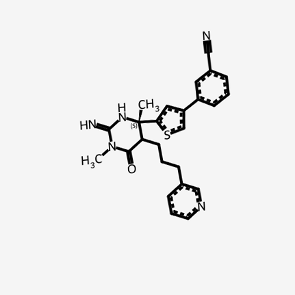 CN1C(=N)N[C@](C)(c2cc(-c3cccc(C#N)c3)cs2)C(CCCc2cccnc2)C1=O